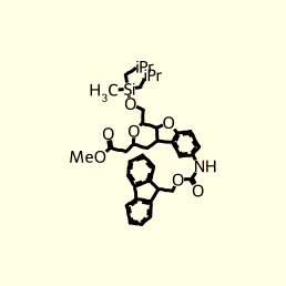 COC(=O)CC1CC2c3cc(NC(=O)OCC4c5ccccc5-c5ccccc54)ccc3OC2C(CO[Si](C)(CC(C)C)CC(C)C)O1